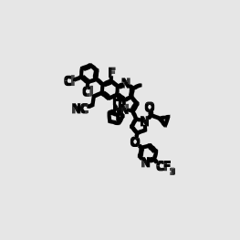 Cc1nc2c(F)c(-c3cccc(Cl)c3Cl)c(CCC#N)cc2c2c1cc(C1CC(Oc3ccc(C(F)(F)F)nc3)CN1C(=O)C1CC1)n2C1C2CNC1C2